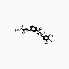 COc1cc(CNS(=O)(=O)c2cccc(/C=C/C(=O)NO)c2)cc(OC)c1OC